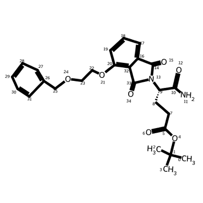 CC(C)(C)OC(=O)CC[C@@H](C(N)=O)N1C(=O)c2cccc(OCCOCc3ccccc3)c2C1=O